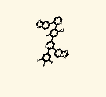 Cc1cc(-c2ncccc2-c2ccn3ncnc3c2)c(Cl)cc1-c1cnc(-c2cc(F)c(F)c(F)c2)c(-c2ccn3ncnc3c2)c1